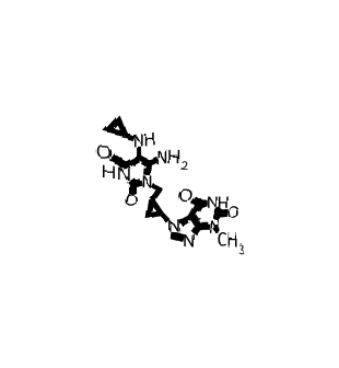 Cn1c(=O)[nH]c(=O)c2c1ncn2C1CC1Cn1c(N)c(NC2CC2)c(=O)[nH]c1=O